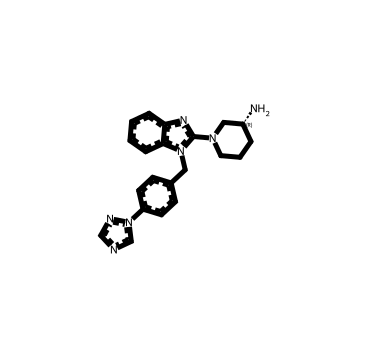 N[C@@H]1CCCN(c2nc3ccccc3n2Cc2ccc(-n3cncn3)cc2)C1